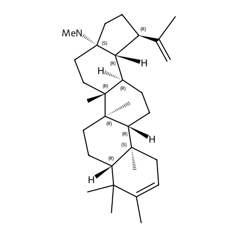 C=C(C)[C@@H]1CC[C@]2(NC)CC[C@]3(C)[C@H](CC[C@@H]4[C@@]5(C)CC=C(C)C(C)(C)[C@@H]5CC[C@]43C)[C@@H]12